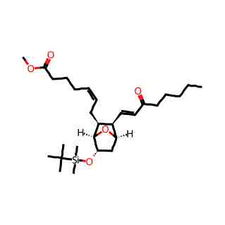 CCCCCC(=O)/C=C/[C@@H]1[C@H](C/C=C\CCCC(=O)OC)[C@H]2O[C@@H]1C[C@@H]2O[Si](C)(C)C(C)(C)C